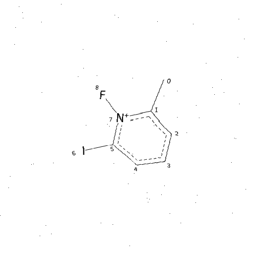 Cc1cccc(I)[n+]1F